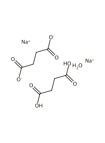 O.O=C(O)CCC(=O)O.O=C([O-])CCC(=O)[O-].[Na+].[Na+]